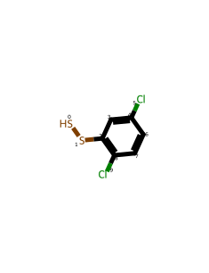 SSc1cc(Cl)ccc1Cl